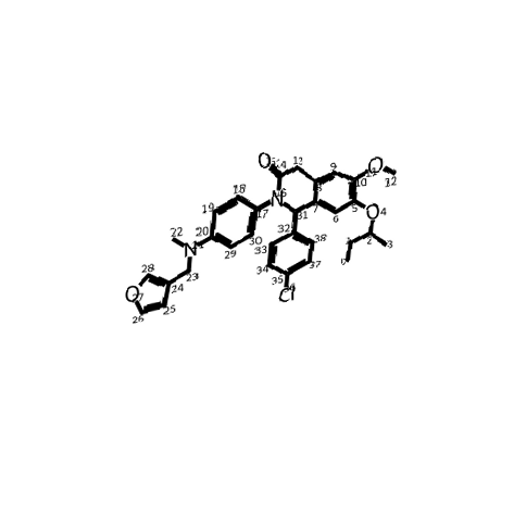 CCC(C)Oc1cc2c(cc1OC)CC(=O)N(c1ccc(N(C)Cc3ccoc3)cc1)C2c1ccc(Cl)cc1